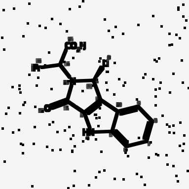 [Li][C@H]1c2c([nH]c3ccccc23)C(=O)N1C(C(=O)O)C(C)C